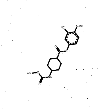 CCCCOC(=O)NC1CCC(C(=O)Nc2ccc(OC)c(C#N)c2)CC1